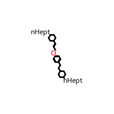 CCCCCCCC1CCC(/C=C/COc2ccc(CCC3CCC(CCCCCCC)CC3)cc2)CC1